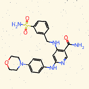 NC(=O)c1cnc(Nc2ccc(N3CCOCC3)cc2)cc1NCc1cccc(S(N)(=O)=O)c1